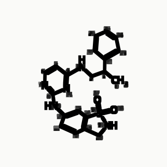 CC(CNc1ccnc(Nc2ccc3c(c2)S(=O)(=O)NC3)n1)c1ccccc1